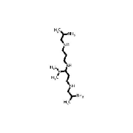 CC(N)CNCCCNC(CCNCC(C)N)N(C)C